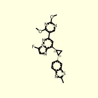 COc1ncc(-c2cc([C@H]3C[C@@H]3c3ccc4nc(C)sc4c3)c3ncc(F)n3n2)c(OC)n1